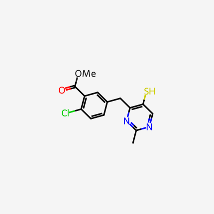 COC(=O)c1cc(Cc2nc(C)ncc2S)ccc1Cl